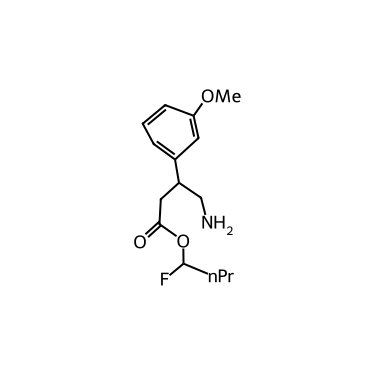 CCCC(F)OC(=O)CC(CN)c1cccc(OC)c1